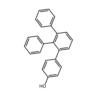 Oc1ccc(-c2cccc(-c3ccccc3)c2-c2ccccc2)cc1